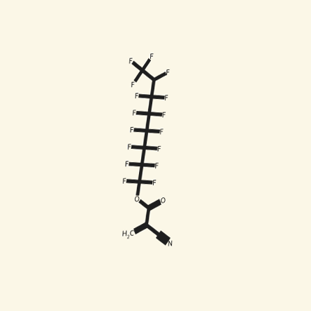 C=C(C#N)C(=O)OC(F)(F)C(F)(F)C(F)(F)C(F)(F)C(F)(F)C(F)(F)C(F)C(F)(F)F